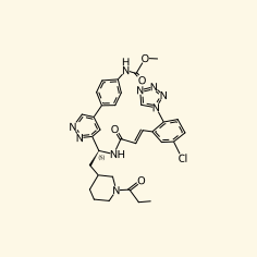 CCC(=O)N1CCCC(C[C@H](NC(=O)C=Cc2cc(Cl)ccc2-n2cnnn2)c2cc(-c3ccc(NC(=O)OC)cc3)cnn2)C1